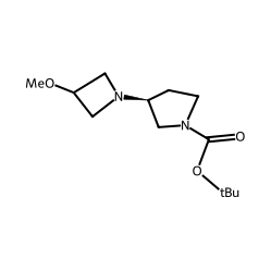 COC1CN([C@H]2CCN(C(=O)OC(C)(C)C)C2)C1